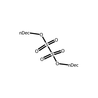 CCCCCCCCCCOS(=O)(=O)S(=O)(=O)OCCCCCCCCCC